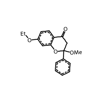 CCOc1ccc2c(c1)OC(OC)(c1ccccc1)CC2=O